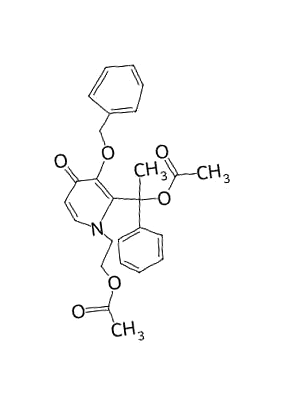 CC(=O)OCCn1ccc(=O)c(OCc2ccccc2)c1C(C)(OC(C)=O)c1ccccc1